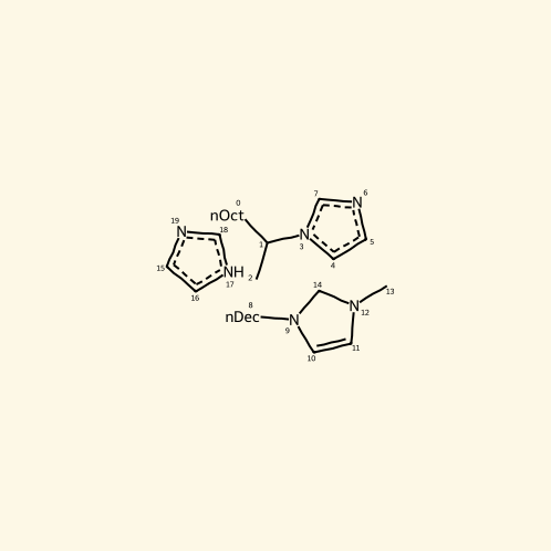 CCCCCCCCC(C)n1ccnc1.CCCCCCCCCCN1C=CN(C)C1.c1c[nH]cn1